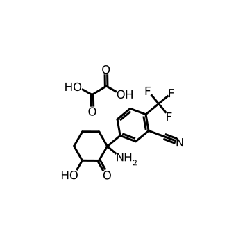 N#Cc1cc(C2(N)CCCC(O)C2=O)ccc1C(F)(F)F.O=C(O)C(=O)O